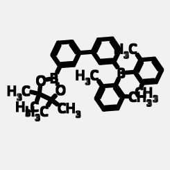 Cc1cccc(C)c1B(c1cccc(-c2cccc(B3OC(C)(C)C(C)(C)O3)c2)c1)c1c(C)cccc1C